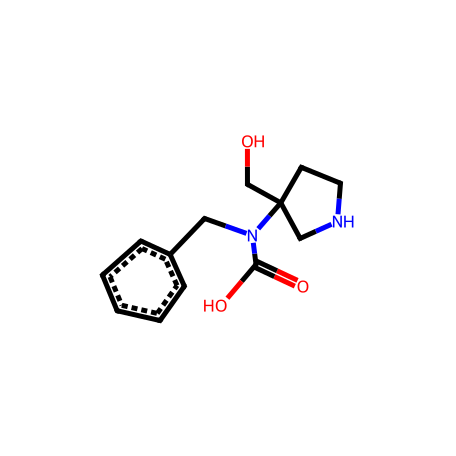 O=C(O)N(Cc1ccccc1)C1(CO)CCNC1